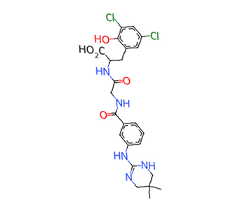 CC1(C)CN=C(Nc2cccc(C(=O)NCC(=O)NC(Cc3cc(Cl)cc(Cl)c3O)C(=O)O)c2)NC1